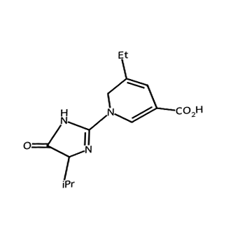 CCC1=CC(C(=O)O)=CN(C2=NC(C(C)C)C(=O)N2)C1